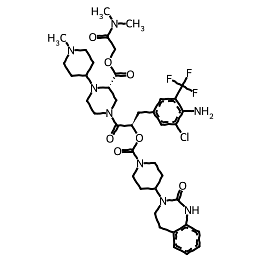 CN1CCC(N2CCN(C(=O)[C@@H](Cc3cc(Cl)c(N)c(C(F)(F)F)c3)OC(=O)N3CCC(N4CCc5ccccc5NC4=O)CC3)C[C@H]2C(=O)OCC(=O)N(C)C)CC1